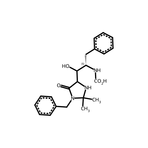 CC1(C)NC(C(O)[C@H](Cc2ccccc2)NC(=O)O)C(=O)N1Cc1ccccc1